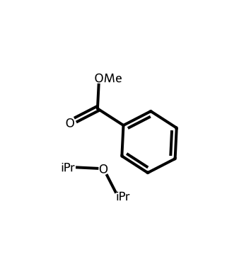 CC(C)OC(C)C.COC(=O)c1ccccc1